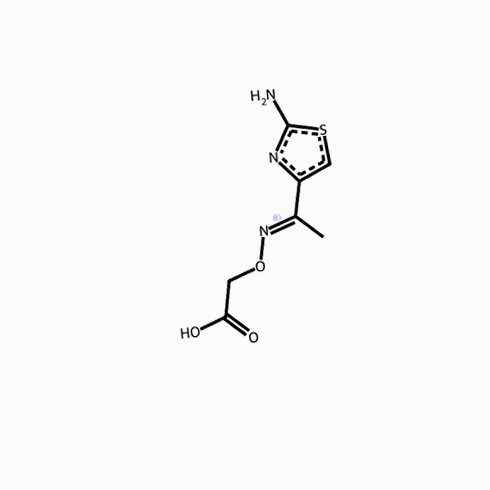 C/C(=N\OCC(=O)O)c1csc(N)n1